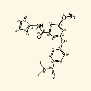 CC(C)Oc1cc(Oc2ccc(C(=O)N(C)C)cc2)cc(C(=O)Nc2nccs2)c1